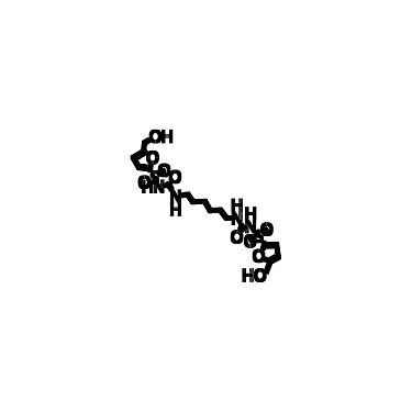 O=C(NCCCCCCNC(=O)NS(=O)(=O)c1ccc(CO)o1)NS(=O)(=O)c1ccc(CO)o1